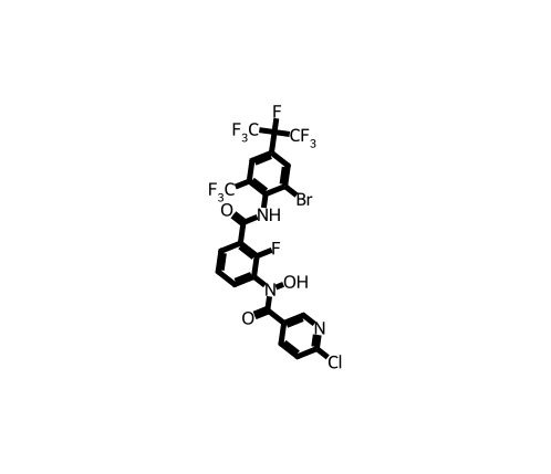 O=C(Nc1c(Br)cc(C(F)(C(F)(F)F)C(F)(F)F)cc1C(F)(F)F)c1cccc(N(O)C(=O)c2ccc(Cl)nc2)c1F